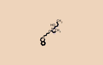 C=C\C=C/C(O)=C/N=C(\C=C/C)OCCCCN1CCc2ccccc2C1